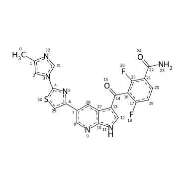 Cc1cn(-c2nc(-c3cnc4[nH]cc(C(=O)c5c(F)ccc(C(N)=O)c5F)c4c3)cs2)cn1